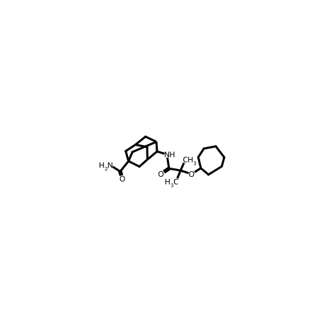 CC(C)(OC1CCCCCC1)C(=O)NC1C2CC3CC1CC(C(N)=O)(C3)C2